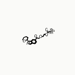 CC(C)(C)NC(=O)OCCOCC(=O)c1ccc2cnn(C3CCCCO3)c2c1